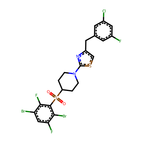 O=S(=O)(c1c(F)c(Br)cc(F)c1Br)C1CCN(c2nc(Cc3cc(F)cc(Cl)c3)cs2)CC1